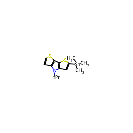 CCCn1c2ccsc2c2s[c]([Sn]([CH3])([CH3])[CH3])cc21